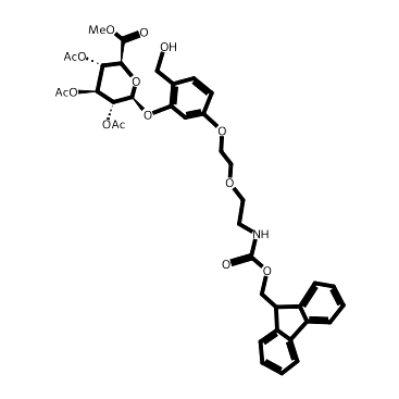 COC(=O)[C@H]1O[C@@H](Oc2cc(OCCOCCNC(=O)OCC3c4ccccc4-c4ccccc43)ccc2CO)[C@H](OC(C)=O)[C@@H](OC(C)=O)[C@@H]1OC(C)=O